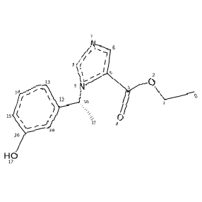 CCOC(=O)c1cncn1[C@H](C)c1cccc(O)c1